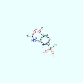 COc1ccc(S(=O)(=O)F)cc1NC(C)=O